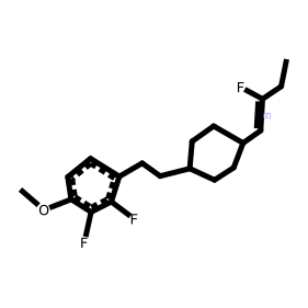 CC/C(F)=C/C1CCC(CCc2ccc(OC)c(F)c2F)CC1